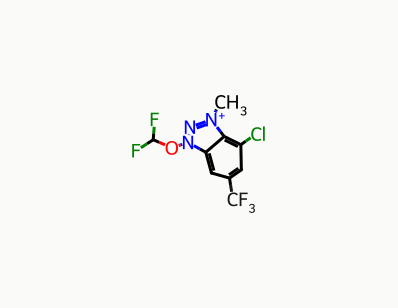 C[n+]1nn(OC(F)F)c2cc(C(F)(F)F)cc(Cl)c21